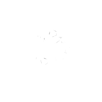 CC(=O)c1cccc(NC(=O)NC[C@@H]2CCCN2[C@H]2CC[C@H](Cc3ccc(F)cc3)CC2)c1